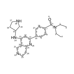 CCN(CC)C(=O)c1ccc(-c2cc(NC3CCNC3)c3cnccc3n2)cc1